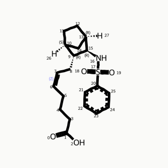 O=C(O)CCC/C=C\C[C@@H]1[C@H]2CC[C@H](C2)[C@H]1NS(=O)(=O)c1ccccc1